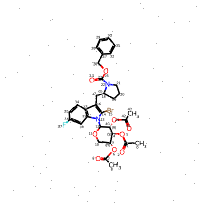 CC(=O)O[C@H]1[C@H](OC(C)=O)COC(n2c(Br)c(C[C@@H]3CCCN3C(=O)OCc3ccccc3)c3ccc(F)cc32)[C@@H]1OC(C)=O